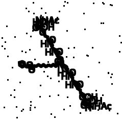 CC(=O)N[C@H]1[C@H]2OC[C@](COCCCCC(=O)NCCCNC(=O)CCOCC(COCCC(=O)NCCCNC(=O)CCCCOC[C@@]34CO[C@@H](O3)[C@H](NC(C)=O)[C@@H](O)[C@H]4O)NC(=O)CCCCCCCCCCC(=O)OCc3ccccc3)(O2)[C@H](O)[C@@H]1O